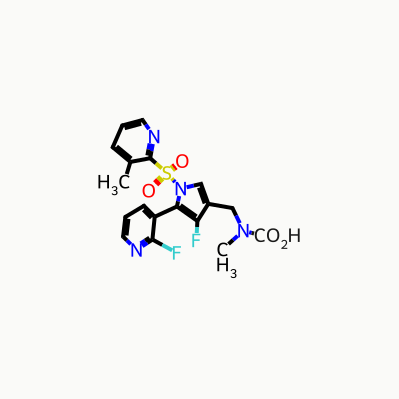 Cc1cccnc1S(=O)(=O)n1cc(CN(C)C(=O)O)c(F)c1-c1cccnc1F